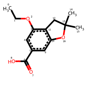 CCOc1cc(C(=O)O)cc2c1CC(C)(C)O2